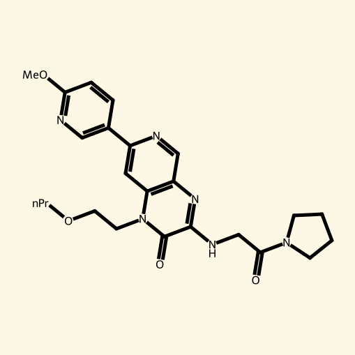 CCCOCCn1c(=O)c(NCC(=O)N2CCCC2)nc2cnc(-c3ccc(OC)nc3)cc21